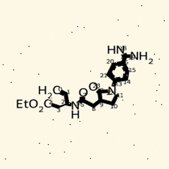 C=C[C@H](CC(=O)OCC)NC(=O)CC1CCN(c2ccc(C(=N)N)cc2)C1=O